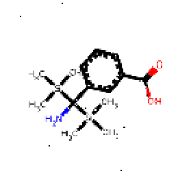 C[Si](C)(C)C(N)(c1cccc(C(=O)O)c1)[Si](C)(C)C